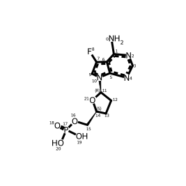 Nc1ncnc2c1c(F)cn2[C@H]1CC[C@@H](COP(=O)(O)O)O1